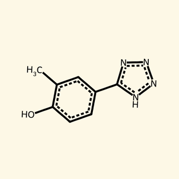 Cc1cc(-c2nnn[nH]2)ccc1O